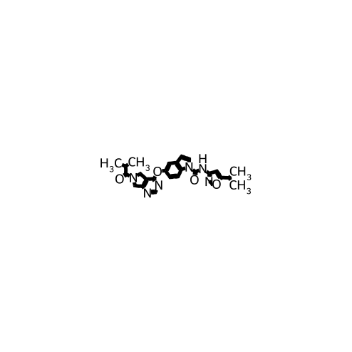 CC(C)C(=O)N1Cc2ncnc(Oc3ccc4c(ccn4C(=O)Nc4cc(C(C)C)on4)c3)c2C1